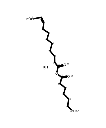 CCCCCCCC/C=C\CCCCCCCC(=O)OC(=O)CCCCCCCCCCCCCCC.[KH]